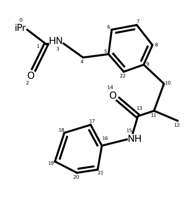 CC(C)C(=O)NCc1cccc(CC(C)C(=O)Nc2ccccc2)c1